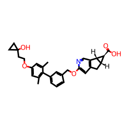 Cc1cc(OCCC2(O)CC2)cc(C)c1-c1cccc(COc2cc3c(cn2)[C@H]2[C@@H](C3)[C@@H]2C(=O)O)c1